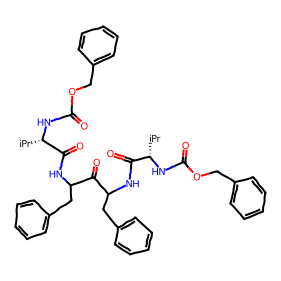 CC(C)[C@H](NC(=O)OCc1ccccc1)C(=O)NC(Cc1ccccc1)C(=O)C(Cc1ccccc1)NC(=O)[C@@H](NC(=O)OCc1ccccc1)C(C)C